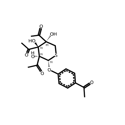 CC(=O)c1ccc(O[C@H]2SC[C@](O)(C(C)=O)[C@@](O)(C(C)=O)[C@]2(O)C(C)=O)cc1